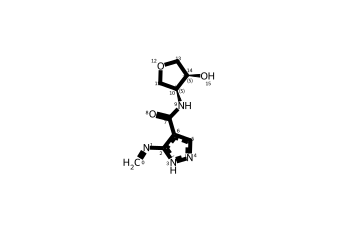 C=Nc1[nH]ncc1C(=O)N[C@H]1COC[C@H]1O